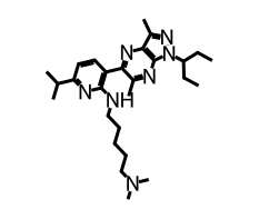 CCC(CC)n1nc(C)c2nc(-c3ccc(C(C)C)nc3NCCCCCN(C)C)c(C)nc21